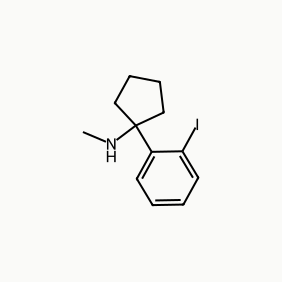 CNC1(c2ccccc2I)CCCC1